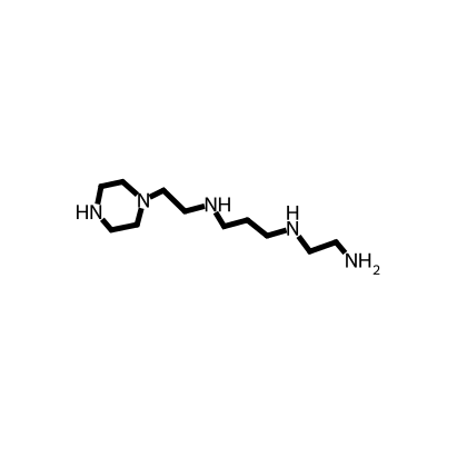 NCCNCCCNCCN1CCNCC1